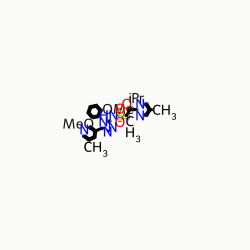 COc1cccc(OC)c1-n1c(NS(=O)(=O)[C@@H](C)[C@H](OC(C)C)c2ncc(C)cn2)nnc1-c1cncc(C)c1